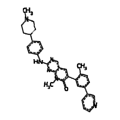 Cc1ccc(-c2cccnc2)cc1-c1cc2cnc(Nc3ccc(C4CCN(C)CC4)cc3)nc2n(C)c1=O